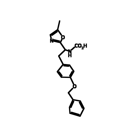 Cc1cnc(C(Cc2ccc(OCc3ccccc3)cc2)NC(=O)O)o1